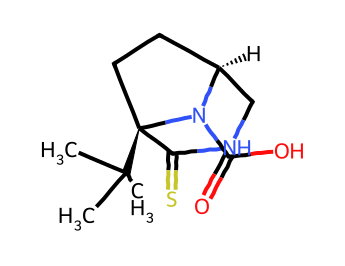 CC(C)(C)[C@]12CC[C@@H](CNC1=S)N2C(=O)O